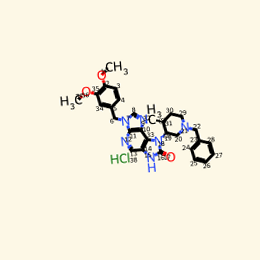 COc1ccc(Cn2cnc3c2ncc2[nH]c(=O)n([C@@H]4CN(Cc5ccccc5)CC[C@@H]4C)c23)cc1OC.Cl